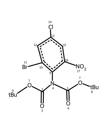 CC(C)(C)OC(=O)N(C(=O)OC(C)(C)C)c1c(Br)cc(Cl)cc1[N+](=O)[O-]